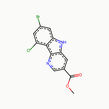 COC(=O)c1cnc2c(c1)[nH]c1cc(Br)cc(Cl)c12